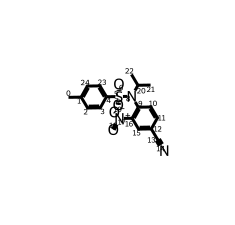 Cc1ccc(S(=O)(=O)N(c2ccc(C#N)cc2[N+](=O)[O-])C(C)C)cc1